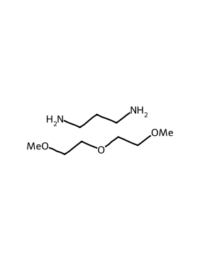 COCCOCCOC.NCCCN